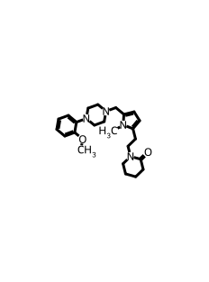 COc1ccccc1N1CCN(Cc2ccc(CCN3CCCCC3=O)n2C)CC1